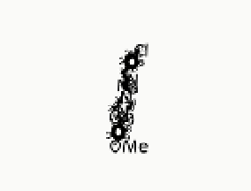 COc1ccc(S(=O)(=O)N2CCN(c3nc(Cc4ccc(Cl)cc4)ns3)CC2C)cc1